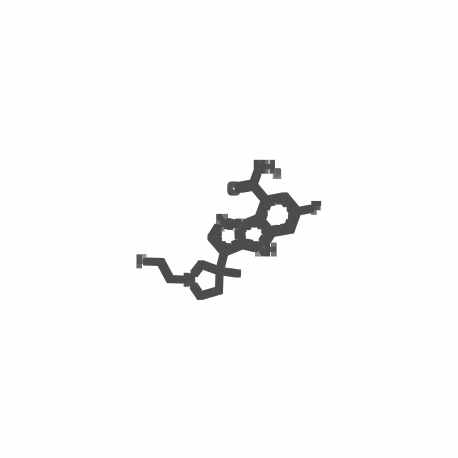 CC1(c2cnn3c2[nH]c2cc(F)cc(C(N)=O)c23)CCN(CCF)C1